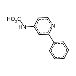 O=C(O)Nc1ccnc(-c2ccccc2)c1